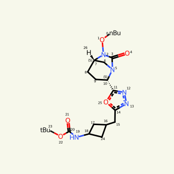 CCCCON1C(=O)N2C[C@@H]1CC[C@H]2c1nnc(CC2CC(NC(=O)OC(C)(C)C)C2)o1